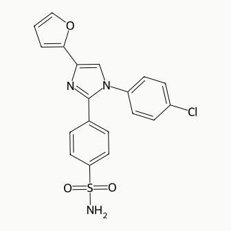 NS(=O)(=O)c1ccc(-c2nc(-c3ccco3)cn2-c2ccc(Cl)cc2)cc1